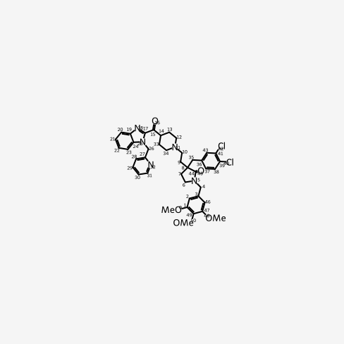 COc1cc(CN2CCC(CCN3CCC(C(=O)c4nc5ccccc5n4Cc4ccccn4)CC3)(Cc3ccc(Cl)c(Cl)c3)C2=O)cc(OC)c1OC